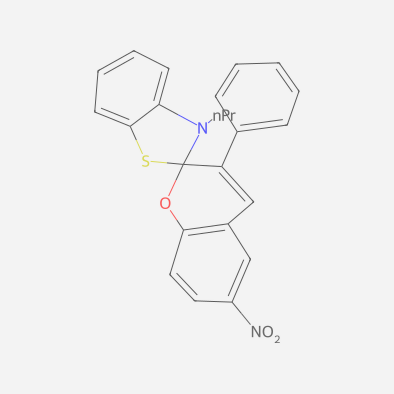 CCCN1c2ccccc2SC12Oc1ccc([N+](=O)[O-])cc1C=C2c1ccccc1